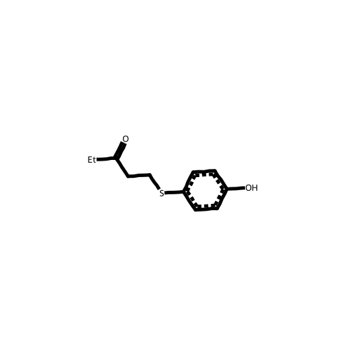 CCC(=O)CCSc1ccc(O)cc1